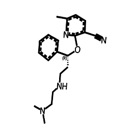 Cc1ccc(C#N)c(O[C@H](CCNCCN(C)C)c2ccccc2)n1